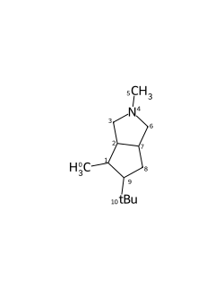 CC1C2CN(C)CC2CC1C(C)(C)C